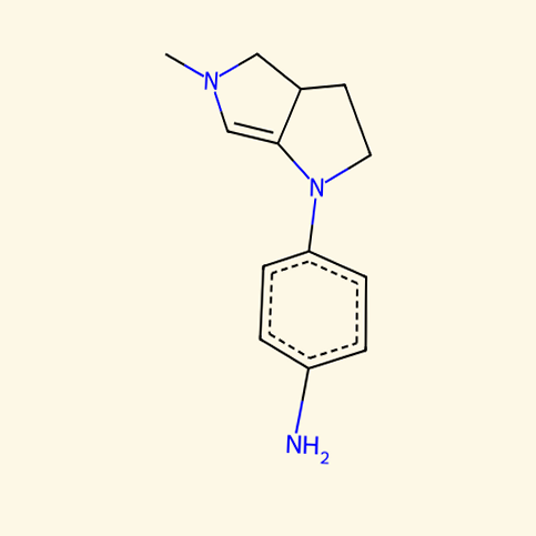 CN1C=C2C(CCN2c2ccc(N)cc2)C1